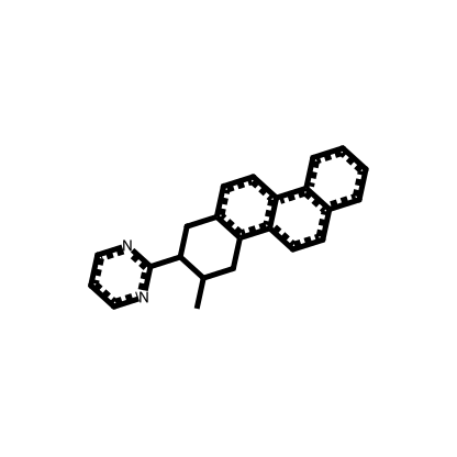 CC1Cc2c(ccc3c2ccc2ccccc23)CC1c1ncccn1